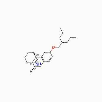 CCCC([CH]Oc1ccc2c(c1)[C@@]13CCCC[C@H]1[C@@H](C2)NCC3)CCC